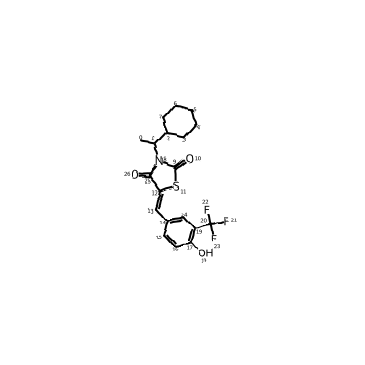 CC(C1CCCCC1)N1C(=O)S/C(=C\c2ccc(O)c(C(F)(F)F)c2)C1=O